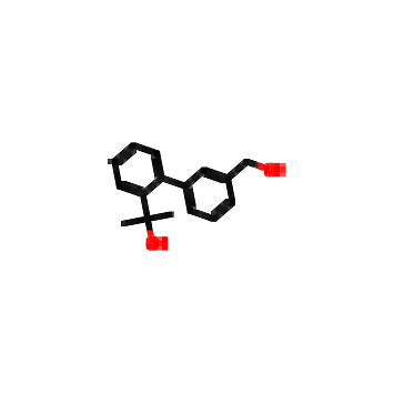 CC(C)(O)c1c[c]ccc1-c1cccc(CO)c1